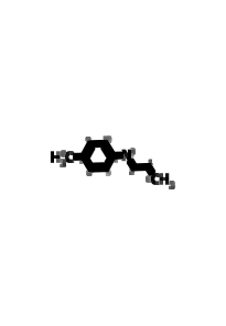 CCC[N]c1ccc(C)cc1